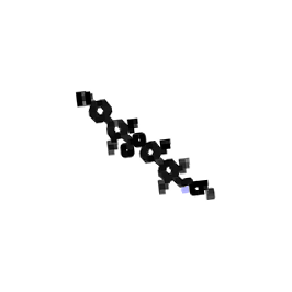 CCc1ccc(-c2cc(F)c(C(=O)Oc3ccc(-c4cc(F)c(/C=C/C(F)(F)F)c(F)c4)c(F)c3)c(F)c2)cc1